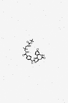 CC(C)(CNC(=O)OC(C)(C)C)CNC(=O)c1ccc(Nc2ncc3c(n2)-c2ccc(Cl)cc2NC(=O)C3)cc1